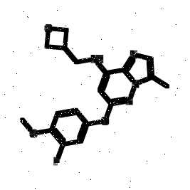 COc1ccc(Oc2cc(NCC3COC3)c3ncc(C)n3n2)cc1F